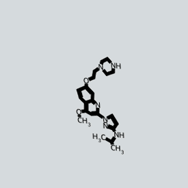 COc1cc(-n2ccc(NC(C)C)n2)nc2cc(OCCN3CCNCC3)ccc12